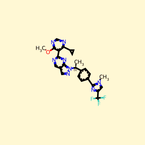 COc1ncnc(C2CC2)c1-c1ncc2cnn([C@@H](C)c3ccc(-c4nc(C(F)(F)F)cn4C)cc3)c2n1